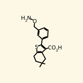 CC1(C)CCc2sc(-c3cccc(CON)c3)c(C(=O)O)c2C1